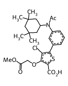 COC(=O)COc1c(C(=O)O)sc(-c2cccc(N(C(C)=O)C3CC(C)(C)CC(C)(C)C3)c2)c1Cl